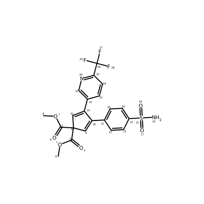 COC(=O)C1(C(=O)OC)C=C(c2ccc(S(N)(=O)=O)cc2)C(c2ccc(C(F)(F)F)nc2)=C1